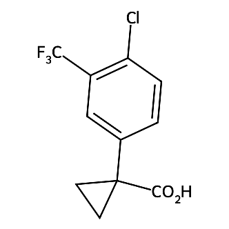 O=C(O)C1(c2ccc(Cl)c(C(F)(F)F)c2)CC1